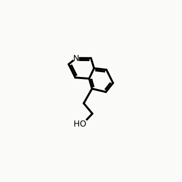 OCCc1cccc2cnccc12